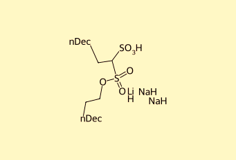 CCCCCCCCCCCCOS(=O)(=O)C(CCCCCCCCCCC)S(=O)(=O)O.[LiH].[NaH].[NaH]